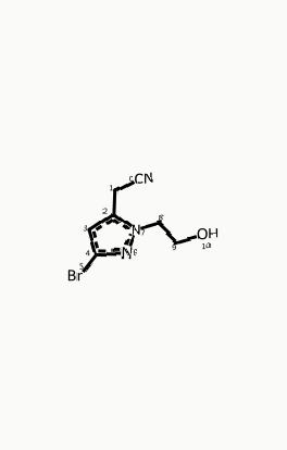 N#CCc1cc(Br)nn1CCO